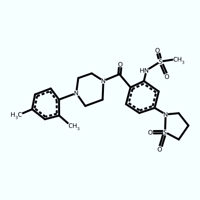 Cc1ccc(N2CCN(C(=O)c3ccc(N4CCCS4(=O)=O)cc3NS(C)(=O)=O)CC2)c(C)c1